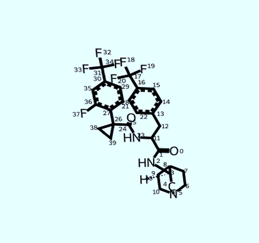 O=C(N[C@@H]1CN2CCC1CC2)C(Cc1ccc(C(F)(F)F)cc1)NC(=O)C1(c2ccc(C(F)(F)F)cc2F)CC1